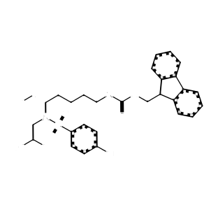 Cc1ccc(S(=O)(=O)N(CC(C)C)[C@H](CO)CCCCNC(=O)OCC2c3ccccc3-c3ccccc32)cc1